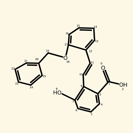 O=C(O)c1cccc(O)c1C=Cc1ccccc1OCc1ccccc1